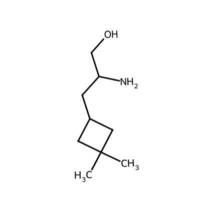 CC1(C)CC(CC(N)CO)C1